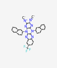 [C-]#[N+]c1nc2c(nc1[N+]#[C-])N(c1ccc3ccccc3c1)c1nc3cc(C(F)(F)F)ccc3nc1N2c1ccc2ccccc2c1